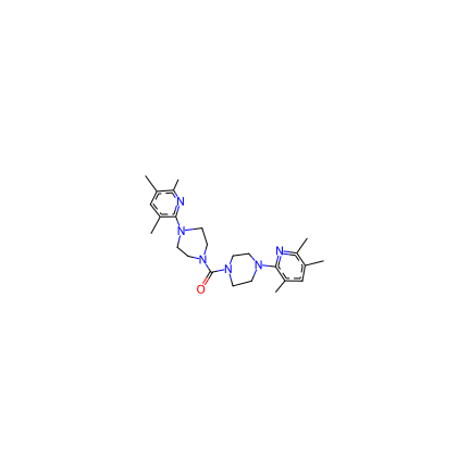 Cc1cc(C)c(N2CCN(C(=O)N3CCN(c4nc(C)c(C)cc4C)CC3)CC2)nc1C